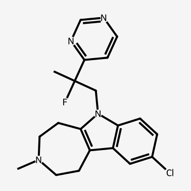 CN1CCc2c(n(CC(C)(F)c3ccncn3)c3ccc(Cl)cc23)CC1